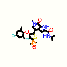 Cc1cc(F)cc(C)c1Oc1c(-c2cn(C)c(=O)c3[nH]c(C(=O)NC(C)C)cc23)sc(P(C)(C)=O)c1F